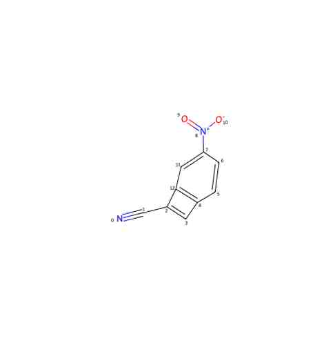 N#CC1=Cc2ccc([N+](=O)[O-])cc21